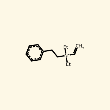 C=C[N+](CC)(CC)CCc1ccccc1